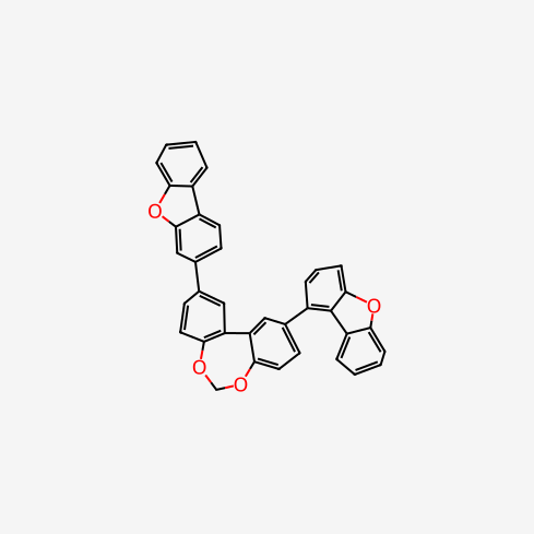 c1ccc2c(c1)oc1cc(-c3ccc4c(c3)-c3cc(-c5cccc6oc7ccccc7c56)ccc3OCO4)ccc12